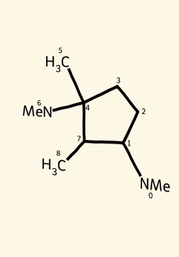 CNC1CCC(C)(NC)C1C